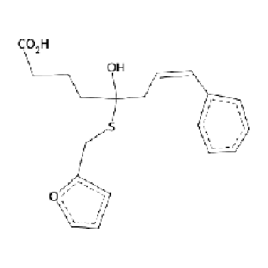 O=C(O)CCCC(O)(C/C=C\c1ccccc1)SCc1ccco1